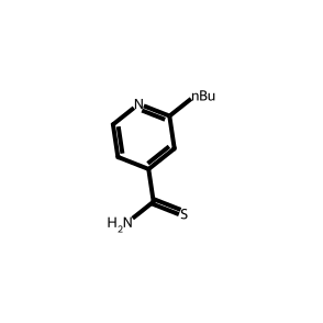 CCCCc1cc(C(N)=S)ccn1